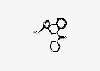 O=C(O)c1ncn2c1CN(C(=O)N1CCOCC1)c1ccccc1-2